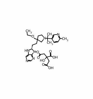 CCOCC1(CC[C@@H]2Nc3cncnc3N2OC(=O)CC(O)(CC(=O)O)C(=O)O)CCN(C(C)(C)c2ccc(C)nc2)C1